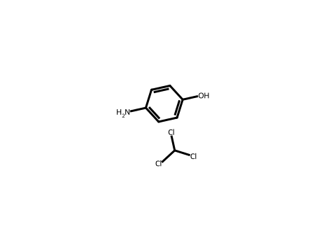 ClC(Cl)Cl.Nc1ccc(O)cc1